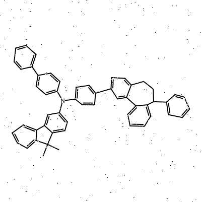 CC1(C)c2ccccc2-c2cc(N(c3ccc(-c4ccccc4)cc3)c3ccc(-c4ccc5c(c4)-c4ccccc4C(c4ccccc4)CC5)cc3)ccc21